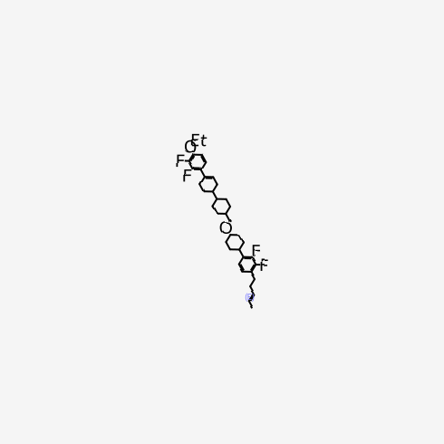 C/C=C/CCc1ccc(C2CCC(OCC3CCC(C4CC=C(c5ccc(OCC)c(F)c5F)CC4)CC3)CC2)c(F)c1F